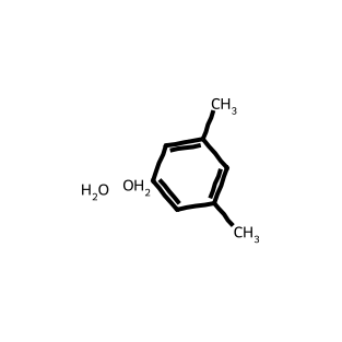 Cc1cccc(C)c1.O.O